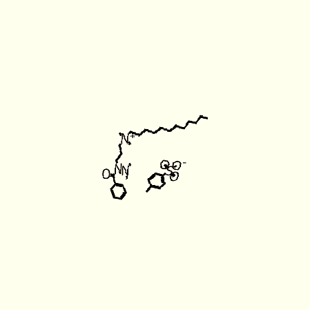 CCCCCCCCCCCC[N+](C)(C)CCCN(C(=O)c1ccccc1)N(C)C.Cc1ccc(S(=O)(=O)[O-])cc1